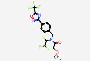 COCC(=O)N(Cc1ccc(-c2noc(C(F)(F)F)n2)cc1)C(F)C(F)F